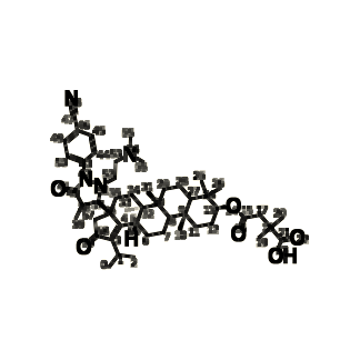 CC(C)C1=C2[C@H]3CCC4[C@@]5(C)CC[C@H](OC(=O)CC(C)(C)C(=O)O)C(C)(C)C5CC[C@@]4(C)[C@]3(C)CC[C@@]2(C2C(C)C(=O)N(c3ccc(C#N)cc3)N2CCN(C)C)CC1=O